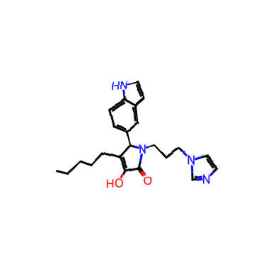 CCCCCC1=C(O)C(=O)N(CCCn2ccnc2)C1c1ccc2[nH]ccc2c1